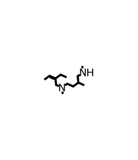 C/C=C(/CC)CN(C)CCC(C)CNC